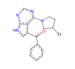 CCC1CCN(c2ncnc3[nH]cc(C(=O)c4ccccc4)c23)C1